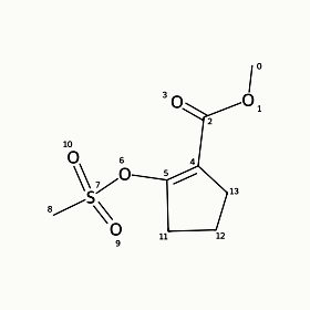 COC(=O)C1=C(OS(C)(=O)=O)CCC1